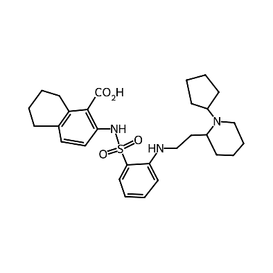 O=C(O)c1c(NS(=O)(=O)c2ccccc2NCCC2CCCCN2C2CCCC2)ccc2c1CCCC2